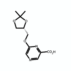 CC1(C)OC[C@@H](COc2cncc(C(=O)O)n2)O1